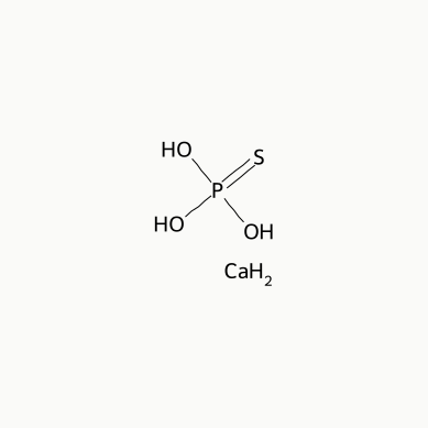 OP(O)(O)=S.[CaH2]